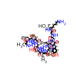 CC(C)C[C@H](NC(=O)[C@H](C)N)C(=O)N[C@@H](CS)C(=O)NCC(=O)N[C@@H](CO)C(=O)N[C@@H](C)C(=O)N[C@@H](CS)C(=O)N[C@@H](CC(C)C)C(=O)N[C@@H](Cc1ccc(O)cc1)C(=O)NCC(=O)NCC(=O)N[C@@H](CCCCN)C(=O)O